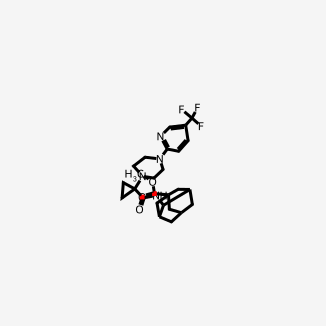 COC(=O)C12CC3CC(C1)C(NC(=O)C1(N4CCN(c5ccc(C(F)(F)F)cn5)CC4)CC1)C(C3)C2